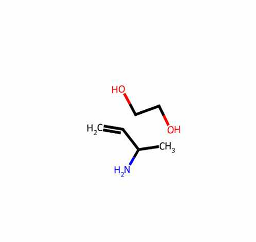 C=CC(C)N.OCCO